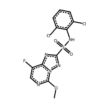 COc1ncc(F)c2nc(S(=O)(=O)Nc3c(Cl)cccc3Cl)nn12